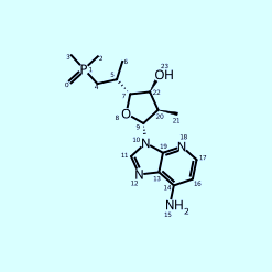 C=P(C)(C)CC(C)[C@H]1O[C@@H](n2cnc3c(N)ccnc32)[C@H](C)[C@@H]1O